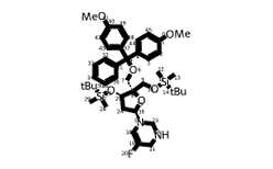 COc1ccc(C(OC[C@]2(CO[Si](C)(C)C(C)(C)C)O[C@@H](N3C=C(F)CNC3)C[C@@H]2O[Si](C)(C)C(C)(C)C)(c2ccccc2)c2ccc(OC)cc2)cc1